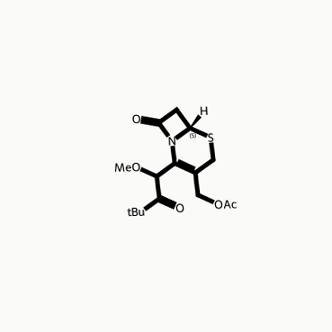 COC(C(=O)C(C)(C)C)C1=C(COC(C)=O)CS[C@H]2CC(=O)N12